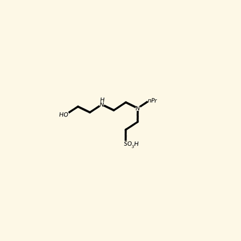 CCCN(CCNCCO)CCS(=O)(=O)O